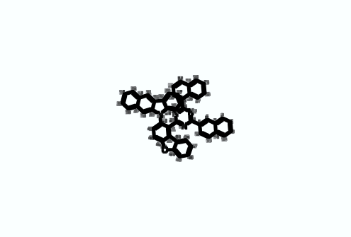 c1ccc2cc(-c3nc(-c4cccc5ccccc45)nc(-c4c(-n5c6ccccc6c6cc7ccccc7cc65)ccc5oc6ccccc6c45)n3)ccc2c1